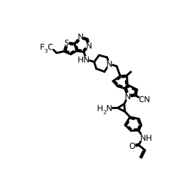 C=CC(=O)Nc1ccc(C2C(N)C2n2c(C#N)cc3c(C)c(CN4CCC(Nc5ncnc6sc(CC(F)(F)F)cc56)CC4)ccc32)cc1